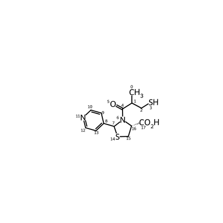 CC(CS)C(=O)N1C(c2ccncc2)SC[C@H]1C(=O)O